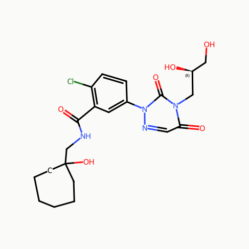 O=C(NCC1(O)CCCCCC1)c1cc(-n2ncc(=O)n(C[C@@H](O)CO)c2=O)ccc1Cl